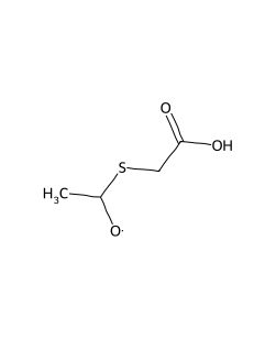 CC([O])SCC(=O)O